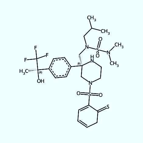 CC(C)CN(C[C@@]1(c2ccc([C@@](C)(O)C(F)(F)F)cc2)CN(S(=O)(=O)C2=CC=CCC2=S)CCN1)S(=O)(=O)N(C)C